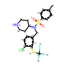 Cc1ccc(S(=O)(=O)N(Cc2ccc(Cl)c(SC(F)(F)F)c2)C2CCNCC2)cc1